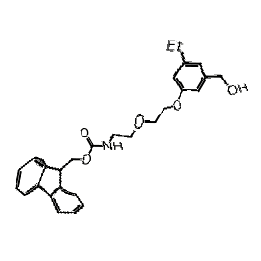 CCc1cc(CO)cc(OCCOCCNC(=O)OCC2c3ccccc3-c3ccccc32)c1